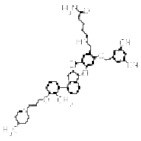 Cc1c(OCCCN2CCC(C)CC2)cccc1-c1cccc2c1CC[C@@H]2Oc1cc(OCc2cc(C#N)cc(C#N)c2)c(CNCCCCC(N)=O)cc1Cl